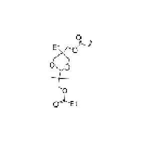 C=CC(=O)OCC1(CC)COC(C(C)(C)COC(=O)CC)OC1